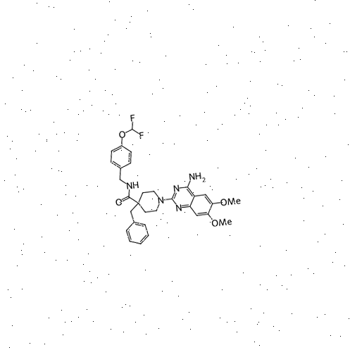 COc1cc2nc(N3CCC(Cc4ccccc4)(C(=O)NCc4ccc(OC(F)F)cc4)CC3)nc(N)c2cc1OC